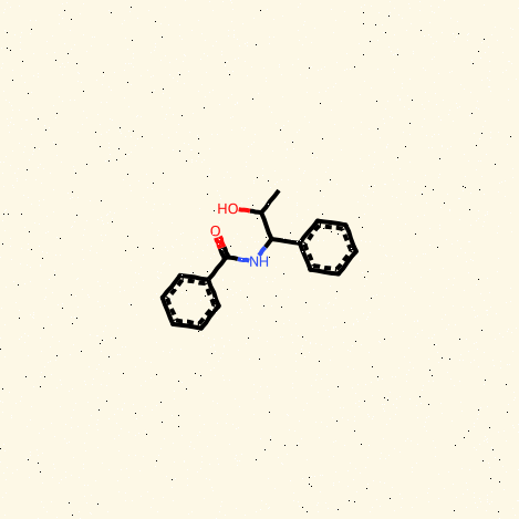 CC(O)C(NC(=O)c1ccccc1)c1ccccc1